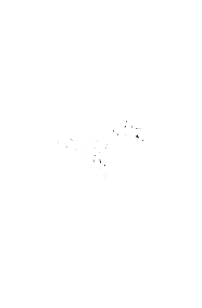 Cc1cc2ncc(N(C)C(=O)c3cccc(-n4nc(C(F)(F)F)c5c4C(Oc4ccc(C(=O)O)cc4)CCC5)c3)cn2n1